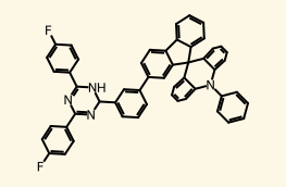 Fc1ccc(C2=NC(c3cccc(-c4ccc5c(c4)C4(c6ccccc6-5)c5ccccc5N(c5ccccc5)c5ccccc54)c3)NC(c3ccc(F)cc3)=N2)cc1